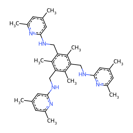 Cc1cc(C)nc(NCc2c(C)c(CNc3cc(C)cc(C)n3)c(C)c(CNc3cc(C)cc(C)n3)c2C)c1